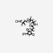 CC(C)C1CC(=O)N(C(C)(C)CC(=O)NC(C)(C)CC(C)(C)OCCC(C)(C)C=O)C1=O